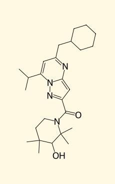 CC(C)c1cc(CC2CCCCC2)nc2cc(C(=O)N3CCC(C)(C)C(O)C3(C)C)nn12